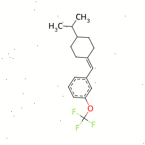 CC(C)C1CCC(=Cc2cccc(OC(F)(F)F)c2)CC1